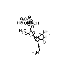 COC1C[C@H](n2cc(C#CCN)c3c(=O)[nH]c(N)nc32)O[C@@H]1COP(=O)(O)OP(=O)(O)OP(=O)(O)O